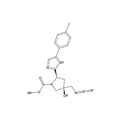 CC(C)(C)OC(=O)N1C[C@@](O)(CN=[N+]=[N-])C[C@@H]1c1ncc(-c2ccc(I)cc2)[nH]1